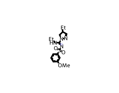 CCN/C(=N\S(=O)(=O)c1cccc(OC)c1)N1CC(CC)C=N1